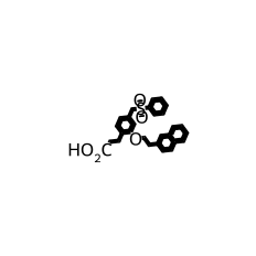 O=C(O)CCc1ccc(CS(=O)(=O)c2ccccc2)cc1OCCc1ccc2ccccc2c1